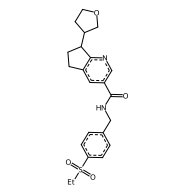 CCS(=O)(=O)c1ccc(CNC(=O)c2cnc3c(c2)CCC3C2CCOC2)cc1